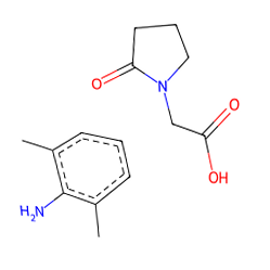 Cc1cccc(C)c1N.O=C(O)CN1CCCC1=O